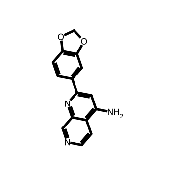 Nc1cc(-c2ccc3c(c2)OCO3)nc2cnccc12